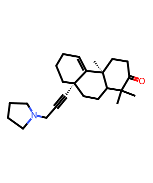 CC1(C)C(=O)CC[C@]2(C)C3=CCCC[C@]3(C#CCN3CCCC3)CCC12